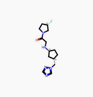 O=C(CN[C@H]1CC[C@H](Cn2cncn2)C1)N1CC[C@H](F)C1